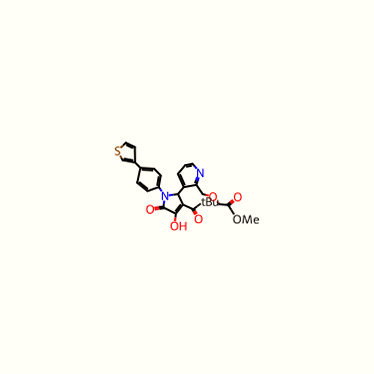 COC(=O)COCc1ncccc1C1C(C(=O)C(C)(C)C)=C(O)C(=O)N1c1ccc(-c2ccsc2)cc1